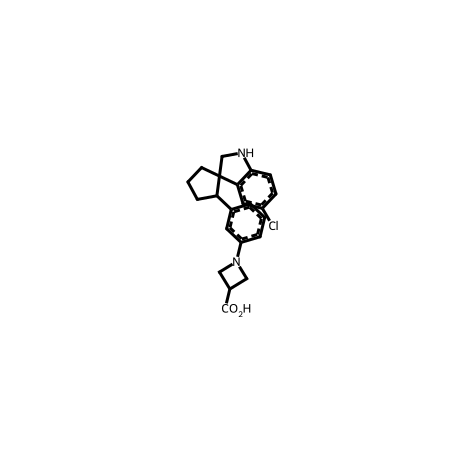 O=C(O)C1CN(c2cccc(C3CCCC34CNc3ccc(Cl)cc34)c2)C1